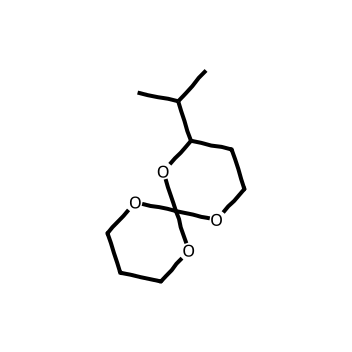 CC(C)C1CCOC2(OCCCO2)O1